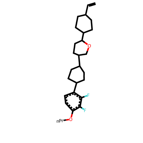 C=CC1CCC(C2CCC(C3CCC(c4ccc(OCCC)c(F)c4F)CC3)CO2)CC1